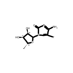 C[C@H]1OC(n2cc(F)c(N)nc2=O)[C@H](O)[C@@H]1O